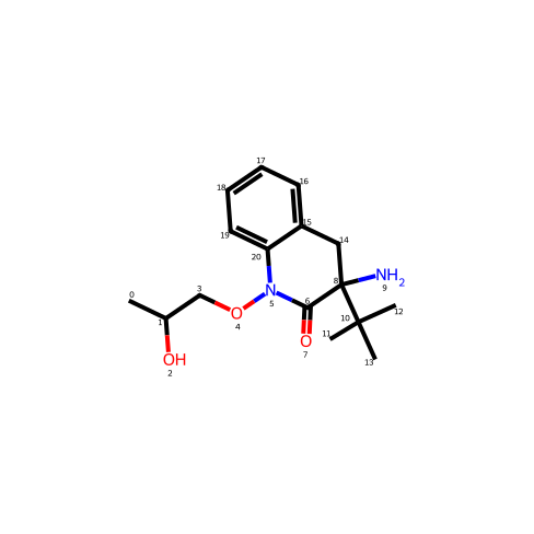 CC(O)CON1C(=O)C(N)(C(C)(C)C)Cc2ccccc21